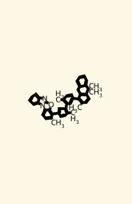 Cc1ccc(-c2c(C)ccc3c2Cc2ccccc2C3(C)C)cc1-c1cc(-c2c(C)ccc3c2oc2nc4ccccc4n23)ccc1C